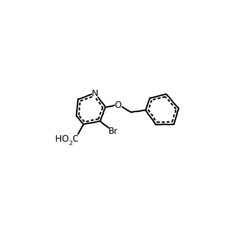 O=C(O)c1ccnc(OCc2ccccc2)c1Br